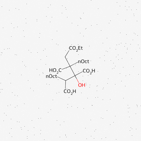 CCCCCCCCC(C(=O)O)C(O)(C(=O)O)C(CCCCCCCC)(CC(=O)OCC)C(=O)O